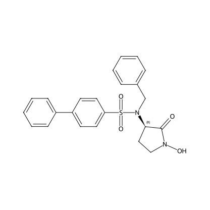 O=C1[C@H](N(Cc2ccccc2)S(=O)(=O)c2ccc(-c3ccccc3)cc2)CCN1O